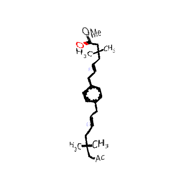 COC(=O)CC(C)(C)C/C=C/Cc1ccc(C/C=C/CC(C)(C)CC(C)=O)cc1